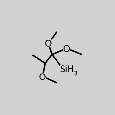 COC(C)C([SiH3])(OC)OC